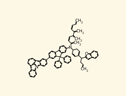 C=C/C=C\C(=C)C(=C)/C=C\C(=C)N(c1ccc2c(c1)C(c1ccccc1)(c1ccccc1)c1cc(-c3ccc4c(c3)c3cccc5c6ccccc6n4c53)ccc1-2)C1C=CC(C(CC=C)c2cc3ccccc3o2)=CC1